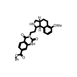 COc1cccc2c1CC[C@H]1CNC(CCn3c(=O)[nH]c4cc(C(=O)OC(C)C)ccc4c3=O)[C@@H]21